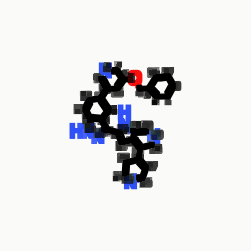 c1ccc(COc2cncc(-c3ccc4[nH]nc(-c5cc6c(-c7ccncc7)cncc6[nH]5)c4c3)c2)cc1